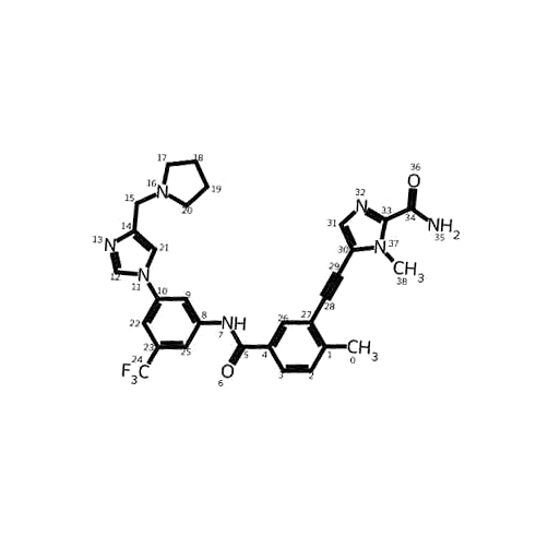 Cc1ccc(C(=O)Nc2cc(-n3cnc(CN4CCCC4)c3)cc(C(F)(F)F)c2)cc1C#Cc1cnc(C(N)=O)n1C